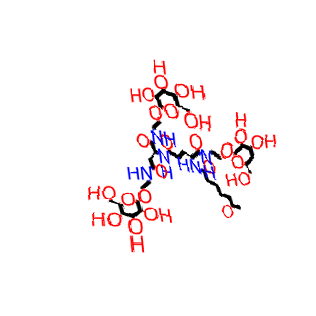 CC(=O)CCCCC(=O)N[C@@H](CCC(=O)N[C@@H](CC(=O)NCCO[C@H]1O[C@H](CO)[C@@H](O)[C@H](O)[C@@H]1O)C(=O)NCCO[C@H]1O[C@H](CO)[C@@H](O)[C@H](O)[C@@H]1O)C(=O)NCCO[C@H]1O[C@H](CO)C[C@H](O)[C@@H]1O